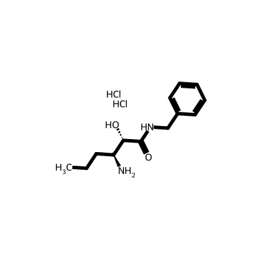 CCC[C@H](N)[C@H](O)C(=O)NCc1ccccc1.Cl.Cl